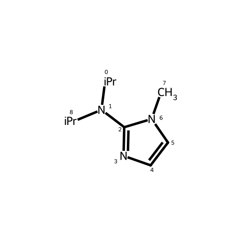 CC(C)N(c1nccn1C)C(C)C